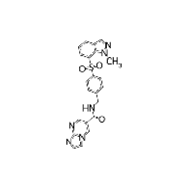 Cn1ncc2cccc(S(=O)(=O)c3ccc(CNC(=O)c4cnc5nccn5c4)cc3)c21